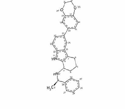 C[C@@H](NC1CCCc2c1[nH]c1ccc(-c3ccc4c(c3)OCCO4)cc21)c1ccccc1